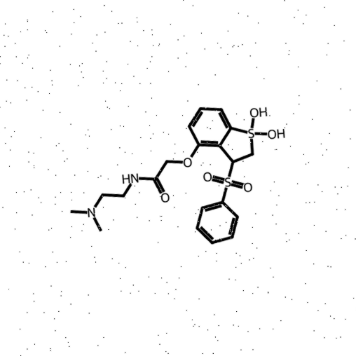 CN(C)CCNC(=O)COc1cccc2c1C(S(=O)(=O)c1ccccc1)CS2(O)O